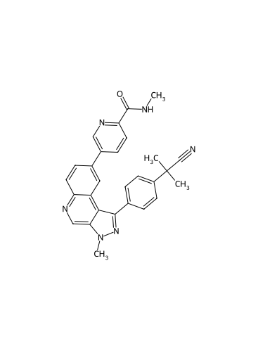 CNC(=O)c1ccc(-c2ccc3ncc4c(c(-c5ccc(C(C)(C)C#N)cc5)nn4C)c3c2)cn1